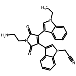 CCn1cc(C2=C(c3cn(CC#N)c4ccccc34)C(=O)N(CCN)C2=O)c2ccccc21